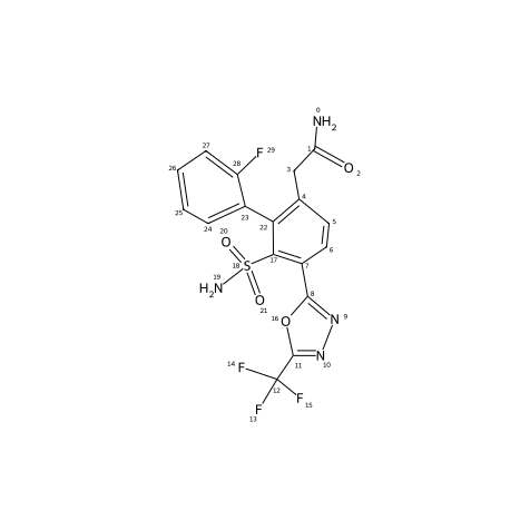 NC(=O)Cc1ccc(-c2nnc(C(F)(F)F)o2)c(S(N)(=O)=O)c1-c1ccccc1F